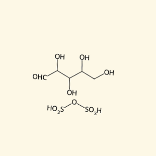 O=CC(O)C(O)C(O)CO.O=S(=O)(O)OS(=O)(=O)O